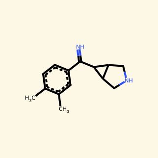 Cc1ccc(C(=N)C2C3CNCC32)cc1C